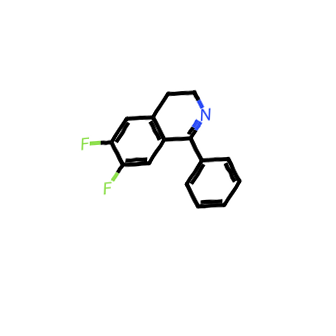 Fc1cc2c(cc1F)C(c1ccccc1)=NCC2